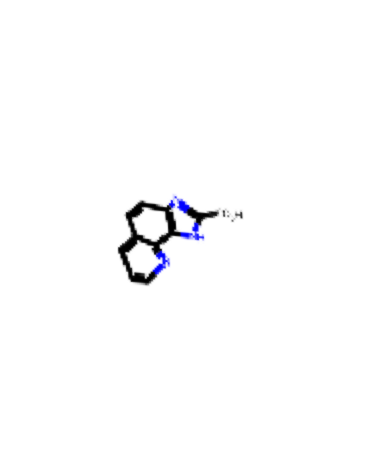 O=C(O)c1nc2ccc3cccnc3c2[nH]1